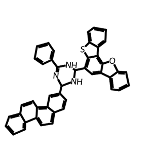 c1ccc(C2=NC(c3ccc4ccc5c6ccccc6ccc5c4c3)NC(c3cc4c5ccccc5oc4c4c3sc3ccccc34)N2)cc1